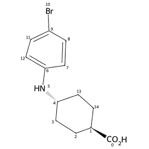 O=C(O)[C@H]1CC[C@H](Nc2ccc(Br)cc2)CC1